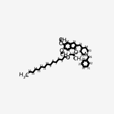 C=C(COCCCCCCCCCCCCCC)OC1=C(CC2CCN(Cc3ccccc3)CC2)Cc2cc(OC)c(OC)cc21